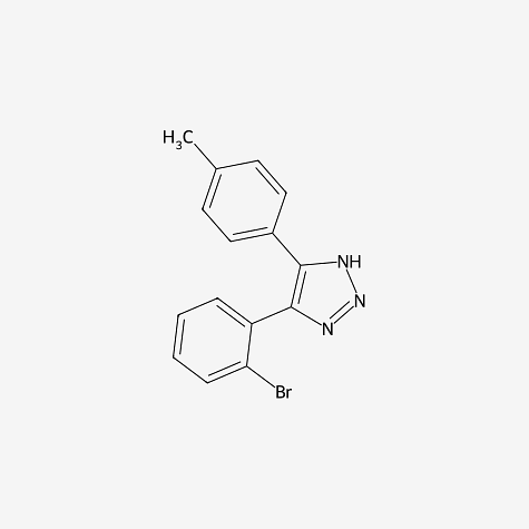 Cc1ccc(-c2[nH]nnc2-c2ccccc2Br)cc1